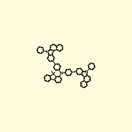 CC1(C)c2ccccc2-c2cccc(N(c3ccc(-c4ccc5c(c4)c4c6ccccc6ccc4n5-c4ccccc4)cc3)c3ccc(-c4ccc5c(c4)c4c6ccccc6ccc4n5-c4ccccc4)cc3)c21